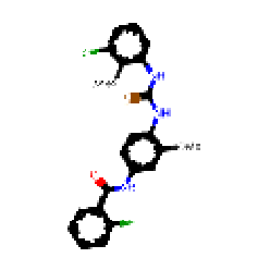 COc1cc(NC(=O)c2ccccc2F)ccc1NC(=S)Nc1cccc(Cl)c1SC